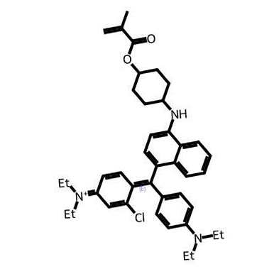 C=C(C)C(=O)OC1CCC(Nc2ccc(/C(=C3\C=CC(=[N+](CC)CC)C=C3Cl)c3ccc(N(CC)CC)cc3)c3ccccc23)CC1